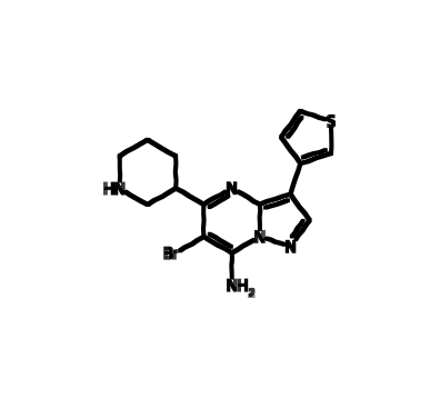 Nc1c(Br)c(C2CCCNC2)nc2c(-c3ccsc3)cnn12